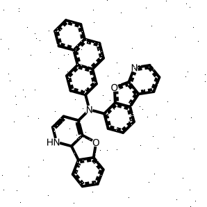 C1=CC(N(c2ccc3c(ccc4ccccc43)c2)c2cccc3c2oc2ncccc23)=C2Oc3ccccc3C2N1